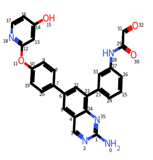 Nc1ncc2cc(-c3ccc(Oc4cc(O)ccn4)cc3)cc(-c3cccc(NC(=O)C=O)c3)c2n1